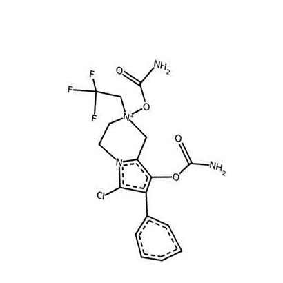 NC(=O)Oc1c(-c2ccccc2)c(Cl)n2c1C[N+](CC(F)(F)F)(OC(N)=O)CC2